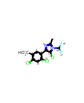 Cc1nc(-c2cc(C(=O)O)c(Cl)cc2Cl)c(Cl)n1C(F)F